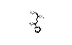 C=C(CC/C(C)=C\C)c1ccccn1